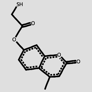 Cc1cc(=O)oc2cc(OC(=O)CS)ccc12